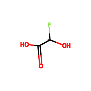 O=C(O)[C](O)F